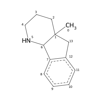 CC12CCCNC1c1ccccc1C2